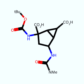 CNC(=O)NC1CC(NC(=O)OC(C)(C)C)(C(=O)O)C2C(C(=O)O)C12